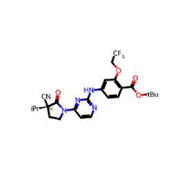 CC(C)[C@]1(C#N)CCN(c2ccnc(Nc3ccc(C(=O)OC(C)(C)C)c(OCC(F)(F)F)c3)n2)C1=O